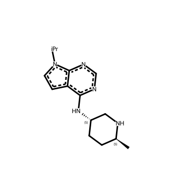 CC(C)n1ccc2c(N[C@H]3CC[C@H](C)NC3)ncnc21